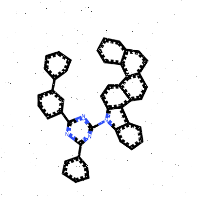 c1ccc(-c2cccc(-c3nc(-c4ccccc4)nc(-n4c5ccccc5c5c6ccc7ccc8ccccc8c7c6ccc54)n3)c2)cc1